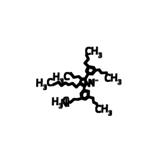 CCCCCCCCC1=C(c2cc(CCCC)cc(CCCC)c2)[N+](=[N-])C(c2cc(CCCC)cc(CCCC)c2)=C1CCCC.[Ni]